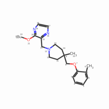 Cc1ccccc1OCC1(C)CCN(Cc2nccnc2OC(C)(C)C)CC1